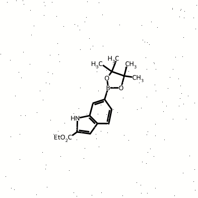 CCOC(=O)c1cc2ccc(B3OC(C)(C)C(C)(C)O3)cc2[nH]1